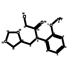 CCCOc1ccccc1N(CC1COCO1)C(=O)CCl